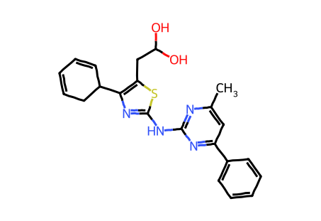 Cc1cc(-c2ccccc2)nc(Nc2nc(C3C=CC=CC3)c(CC(O)O)s2)n1